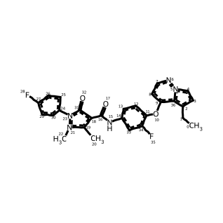 CCc1ccn2nccc(Oc3ccc(NC(=O)c4c(C)n(C)n(-c5ccc(F)cc5)c4=O)cc3F)c12